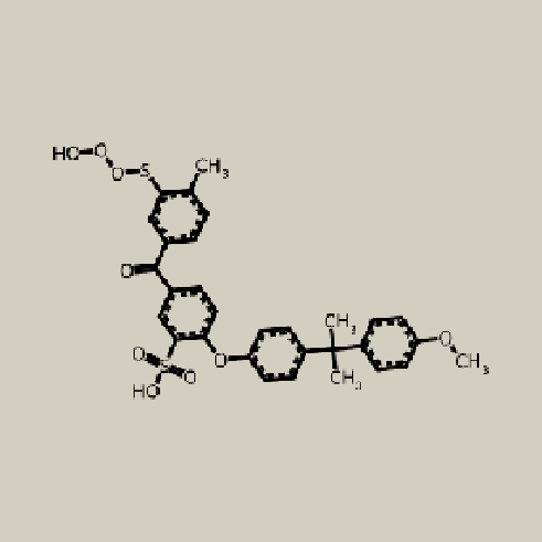 COc1ccc(C(C)(C)c2ccc(Oc3ccc(C(=O)c4ccc(C)c(SOOO)c4)cc3S(=O)(=O)O)cc2)cc1